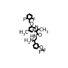 Cc1cc(OCc2c(F)cccc2F)c2nc(C)c(C(=O)NCC(N)c3cccc(OC(F)F)c3)n2c1